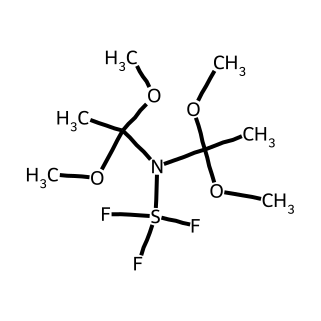 COC(C)(OC)N(C(C)(OC)OC)S(F)(F)F